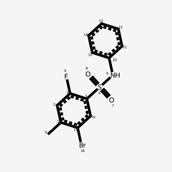 Cc1cc(F)c(S(=O)(=O)Nc2ccccc2)cc1Br